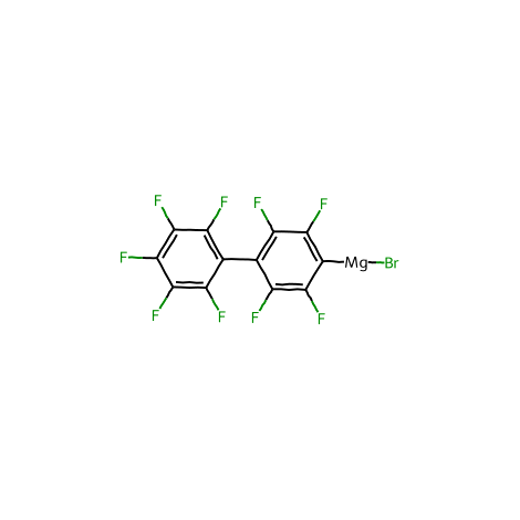 Fc1c(F)c(F)c(-c2c(F)c(F)[c]([Mg][Br])c(F)c2F)c(F)c1F